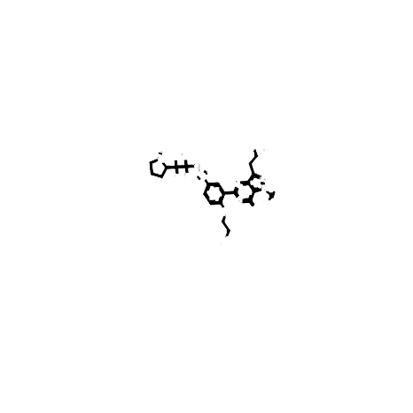 [2H]C([2H])([2H])n1nc(CCC)c2nc(-c3cc(S(=O)(=O)NC([2H])([2H])C([2H])([2H])C4CCCN4C)ccc3OCCC)[nH]c(=O)c21